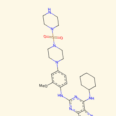 COc1cc(N2CCN(S(=O)(=O)N3CCNCC3)CC2)ccc1Nc1nc(NC2CCCCC2)c2nc[nH]c2n1